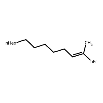 CCCCCCCCCCCC=C(C)CCC